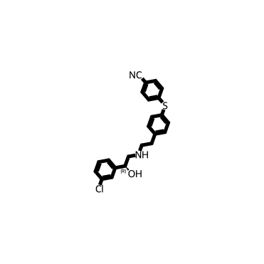 N#Cc1ccc(Sc2ccc(CCNC[C@H](O)c3cccc(Cl)c3)cc2)cc1